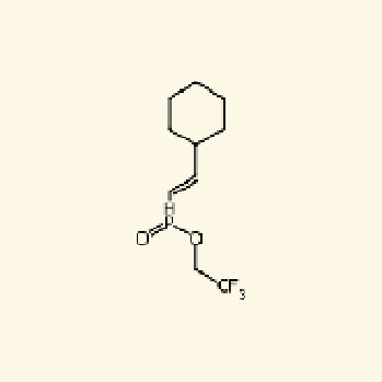 O=[PH](C=CC1CCCCC1)OCC(F)(F)F